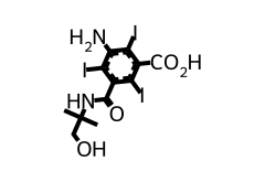 CC(C)(CO)NC(=O)c1c(I)c(N)c(I)c(C(=O)O)c1I